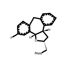 CNC[C@H]1C[C@H]2c3ccccc3Cc3ccc(F)cc3[C@H]2O1